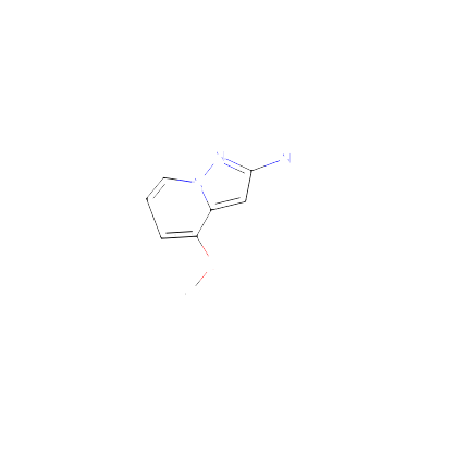 COc1cccn2nc(N)cc12